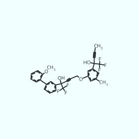 CC#CC(O)(c1cc(C)cc(OCC#CC(O)(c2cccc(-c3ccccc3OC)c2)C(F)(F)F)c1)C(F)(F)F